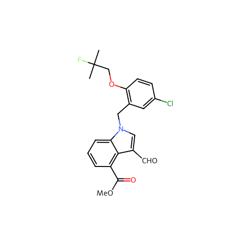 COC(=O)c1cccc2c1c(C=O)cn2Cc1cc(Cl)ccc1OCC(C)(C)F